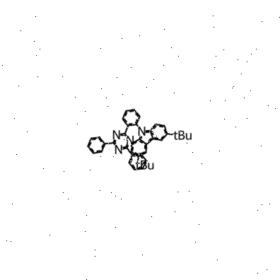 CC(C)(C)c1ccc2c(c1)c1cc(C(C)(C)C)ccc1n2-c1ccccc1-c1nc(-c2ccccc2)nc(-c2ccccc2)n1